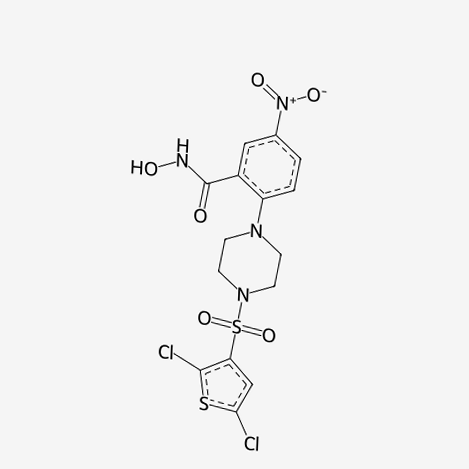 O=C(NO)c1cc([N+](=O)[O-])ccc1N1CCN(S(=O)(=O)c2cc(Cl)sc2Cl)CC1